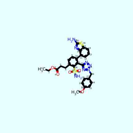 CCOC(=O)CCc1ccc(-c2cccc3sc(N)nc23)c(-c2nnn(Cc3ccc(OC)cc3)n2)c1S(N)(=O)=O